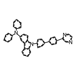 c1ccc(N(c2ccccc2)c2ccc3c(c2)c2ccccc2n3-c2ccc(-c3ccc(-c4cnccn4)cc3)cc2)cc1